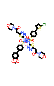 O=C(Cc1nnc(NS(=O)(=O)c2ccc(-c3ccc(Cl)s3)cc2)s1)N1CCOCC1.O=C(Cc1nnc(NS(=O)(=O)c2ccc(-c3ccc4c(c3)OCO4)cc2)s1)N1CCOCC1